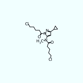 CN(C(=O)CCCCCl)c1cc(C2CC2)nn1C(=O)CCCCCl